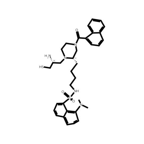 CN(C)c1cccc2cccc(S(=O)(=O)NCCCC[C@H]3CN(C(=O)c4cccc5ccccc45)CCN3C[C@@H](N)CS)c12